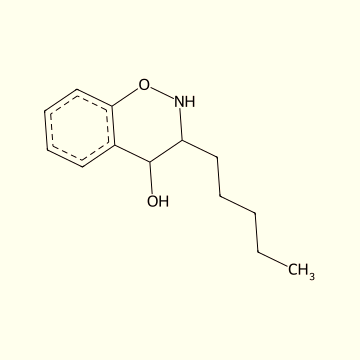 CCCCCC1NOc2ccccc2C1O